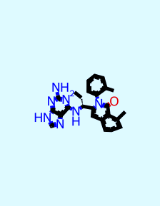 CC[C@@H](Nc1nc(N)nc2[nH]cnc12)c1cc2cccc(C)c2c(=O)n1-c1ccccc1C